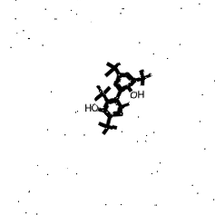 Cc1cc(C(C)(C)C)c(O)c(C(C)(C)C)c1-c1cc(C(C)(C)C)cc(C(C)(C)C)c1O